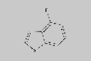 Fc1cccc2sc[c]c12